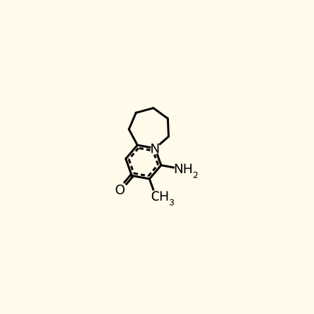 Cc1c(N)n2c(cc1=O)CCCCC2